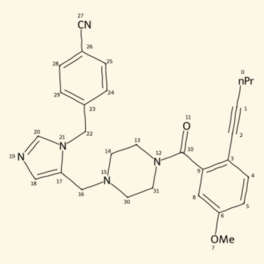 CCCC#Cc1ccc(OC)cc1C(=O)N1CCN(Cc2cncn2Cc2ccc(C#N)cc2)CC1